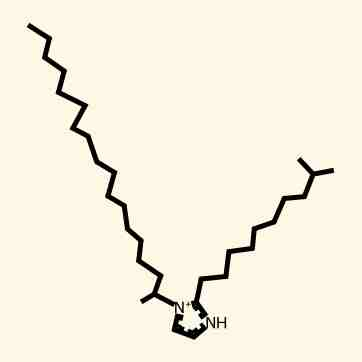 CCCCCCCCCCCCCCCCC(C)[n+]1cc[nH]c1CCCCCCCCC(C)C